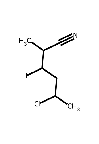 CC(Cl)CC(I)C(C)C#N